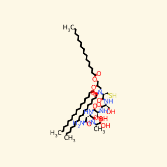 CCCCCCCCCCCCCCCC(=O)OCC(CN(C(=O)CCCCCCCCCCCCCCC)[C@@H](CS)C(=O)N[C@@H](CO)C(=O)N[C@@H](CO)C(=O)N[C@@H](CC(N)=O)C(=O)N[C@@H](C)C(=O)O)OC(=O)CCCCCCCCCCCCCCC